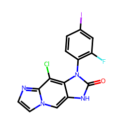 O=c1[nH]c2cn3ccnc3c(Cl)c2n1-c1ccc(I)cc1F